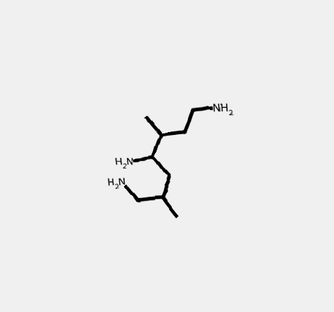 CC(CN)CC(N)C(C)CCN